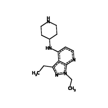 CCc1nn(CC)c2nccc(NC3CCNCC3)c12